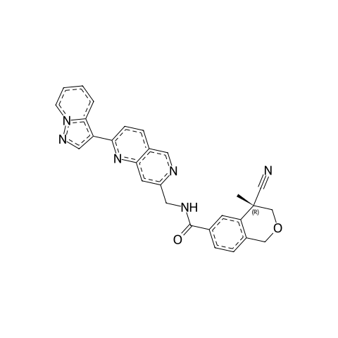 C[C@@]1(C#N)COCc2ccc(C(=O)NCc3cc4nc(-c5cnn6ccccc56)ccc4cn3)cc21